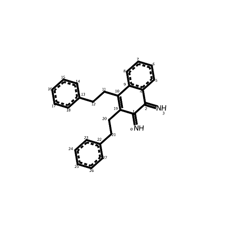 N=C1C(=N)c2ccccc2C(CCc2ccccc2)=C1CCc1ccccc1